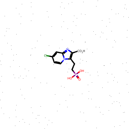 O=C(O)c1nc2cc(Cl)ccn2c1CCP(=O)(O)O